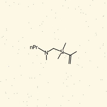 C=C(C)[Si](C)(C)CN(C)CCC